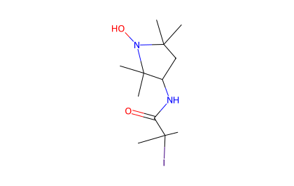 CC(C)(I)C(=O)NC1CC(C)(C)N(O)C1(C)C